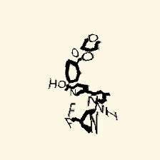 Cc1cc(Nc2cc(C(F)F)ccn2)nc(-c2ccc(C(C)(O)[C@H]3CC[C@H](C(=O)OC4CCOCC4)CC3)nc2)c1